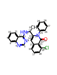 C[C@H](Nc1ncnc2ccccc12)c1cc2cccc(Cl)c2c(=O)n1-c1ccccc1